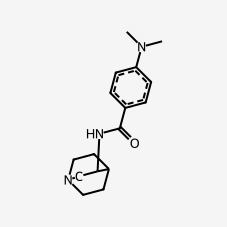 CN(C)c1ccc(C(=O)NC2CN3CCC2CC3)cc1